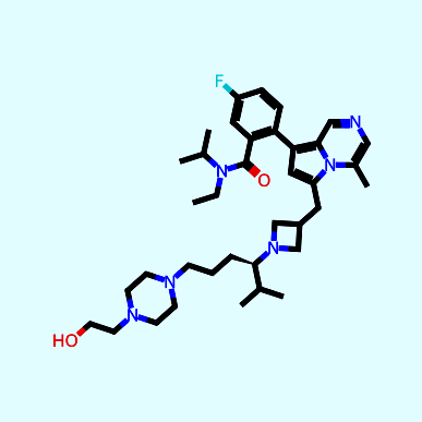 CCN(C(=O)c1cc(F)ccc1-c1cc(CC2CN([C@H](CCCN3CCN(CCO)CC3)C(C)C)C2)n2c(C)cncc12)C(C)C